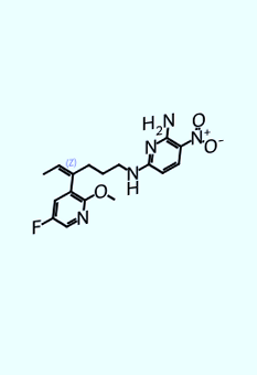 C/C=C(/CCCNc1ccc([N+](=O)[O-])c(N)n1)c1cc(F)cnc1OC